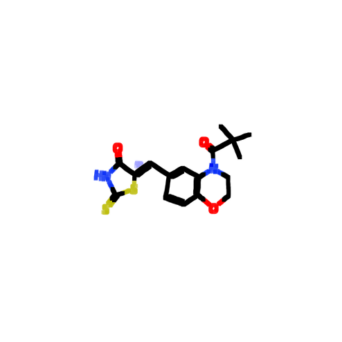 CC(C)(C)C(=O)N1CCOc2ccc(/C=C3\SC(=S)NC3=O)cc21